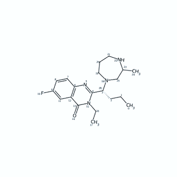 CCC[C@H](c1nc2ccc(F)cc2c(=O)n1CC)N1CCCNC(C)C1